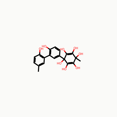 Cc1ccc(O)c(-c2cc(C3(O)C(O)=C(O)C(C)(O)C(O)=C3O)ccc2O)c1